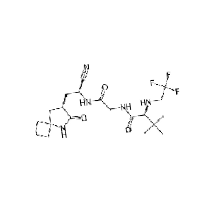 CC(C)(C)[C@H](NCC(F)(F)F)C(=O)NCC(=O)N[C@H](C#N)C[C@@H]1CC2(CCC2)NC1=O